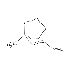 CC1=CC2(C)CCC1C2